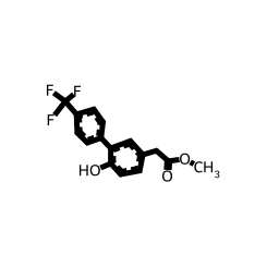 COC(=O)Cc1ccc(O)c(-c2ccc(C(F)(F)F)cc2)c1